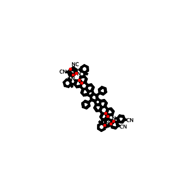 [C-]#[N+]c1ccc(N2c3ccc(-c4ccc5c6c(-c7ccccc7)c7c8ccc(-c9ccc%10c(c9)C9(C)CCCCC9(C)N%10c9ccc(C#N)cc9)c9c(-c%10ccc%11c(c%10)C%10(C)CCCCC%10(C)N%11c%10ccc(C#N)cc%10)ccc(c7c(-c7ccccc7)c6c6ccc(-c7ccc%10c(c7)C7(C)CCCCC7(C)N%10c7ccc([N+]#[C-])cc7)c4c56)c98)cc3C3(C)CCCCC23C)cc1